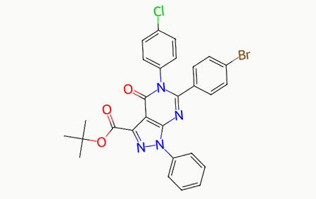 CC(C)(C)OC(=O)c1nn(-c2ccccc2)c2nc(-c3ccc(Br)cc3)n(-c3ccc(Cl)cc3)c(=O)c12